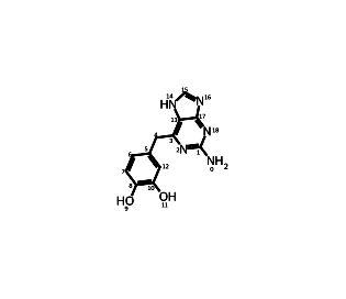 Nc1nc(Cc2ccc(O)c(O)c2)c2[nH]cnc2n1